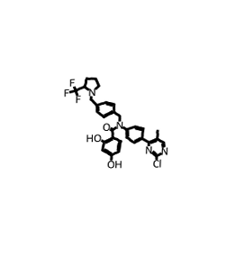 Cc1cnc(Cl)nc1-c1ccc(N(Cc2ccc(CN3CCCC3C(F)(F)F)cc2)C(=O)c2ccc(O)cc2O)cc1